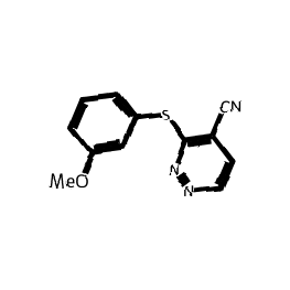 COc1cccc(Sc2nnccc2C#N)c1